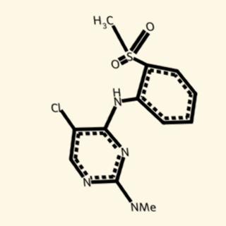 CNc1ncc(Cl)c(Nc2ccccc2S(C)(=O)=O)n1